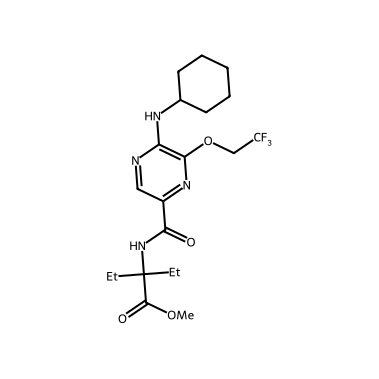 CCC(CC)(NC(=O)c1cnc(NC2CCCCC2)c(OCC(F)(F)F)n1)C(=O)OC